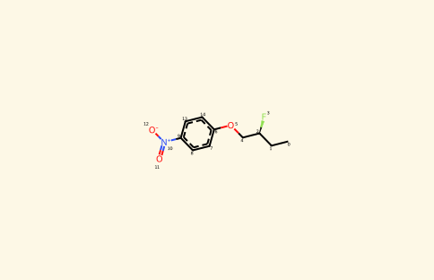 CC[C@H](F)COc1ccc([N+](=O)[O-])cc1